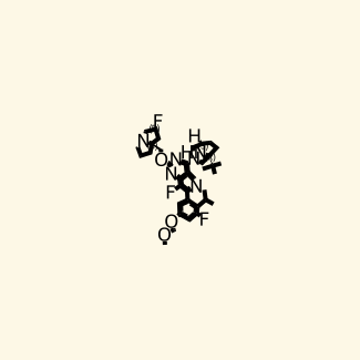 COCOc1cc(F)c(C(C)C)c(-c2ncc3c(N4C[C@@H]5CC[C@@](C(C)(C)C)(C4)N5)nc(OC[C@@]45CCCN4C[C@H](F)C5)nc3c2F)c1